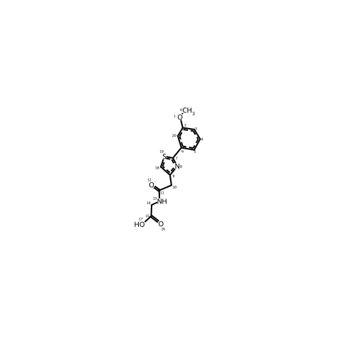 COc1cccc(-c2nc(CC(=O)NCC(=O)O)cs2)c1